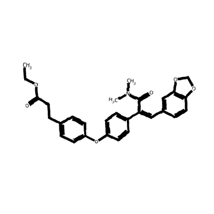 CCOC(=O)CCc1ccc(Oc2ccc(C(=Cc3ccc4c(c3)OCO4)C(=O)N(C)C)cc2)cc1